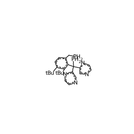 CC(C)(C)c1ccc(CP)c(C(P)(c2cnccn2)c2cnccn2)c1C(C)(C)C